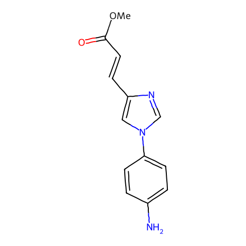 COC(=O)C=Cc1cn(-c2ccc(N)cc2)cn1